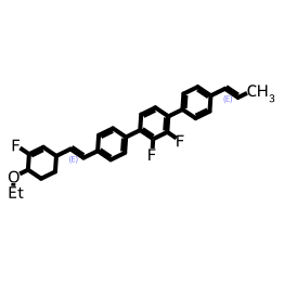 C/C=C/c1ccc(-c2ccc(-c3ccc(/C=C/C4C=C(F)C(OCC)CC4)cc3)c(F)c2F)cc1